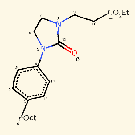 CCCCCCCCc1ccc(N2CCN(CCC(=O)OCC)C2=O)cc1